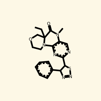 CCC12COCCN1c1nc(C3SN=NC3c3ccccc3)ncc1N(C)C2=O